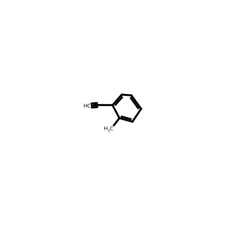 C#Cc1cc[c]cc1C